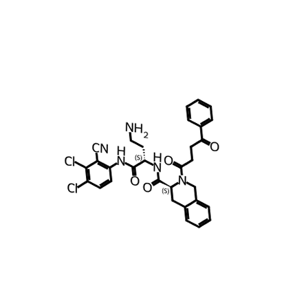 N#Cc1c(NC(=O)[C@H](CCN)NC(=O)[C@@H]2Cc3ccccc3CN2C(=O)CCC(=O)c2ccccc2)ccc(Cl)c1Cl